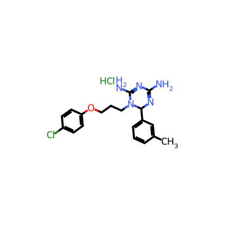 Cc1cccc(C2N=C(N)N=C(N)N2CCCOc2ccc(Cl)cc2)c1.Cl